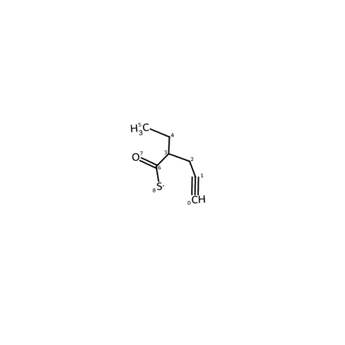 C#CCC(CC)C(=O)[S]